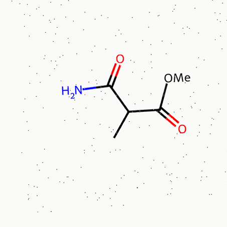 COC(=O)C(C)C(N)=O